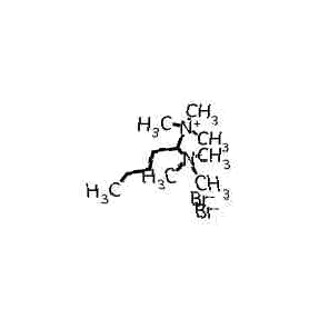 CCCCC([N+](C)(C)C)[N+](C)(C)C.[Br-].[Br-]